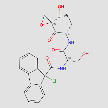 CC(C)C[C@H](NC(=O)[C@H](CO)NC(=O)C1(Cl)c2ccccc2-c2ccccc21)C(=O)[C@]1(CO)CO1